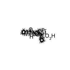 COP(=O)(CNC(=O)OCc1ccccc1)CC(CC(C)C)C(=O)N[C@@H](Cc1ccccc1)C(=O)O